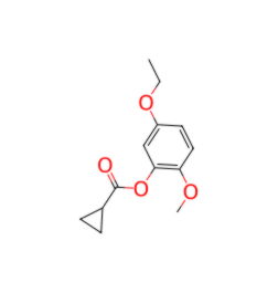 CCOc1ccc(OC)c(OC(=O)C2CC2)c1